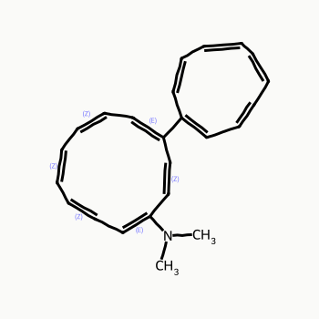 CN(C)C1=C/C=C\C=C/C=C\C=C(c2ccccccccc2)/C=C\1